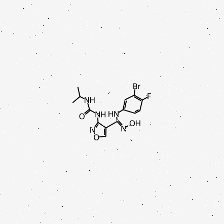 CC(C)NC(=O)Nc1nocc1/C(=N/O)Nc1ccc(F)c(Br)c1